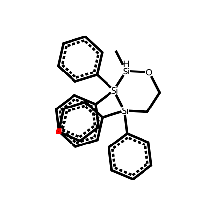 C[SiH]1OCC[Si](c2ccccc2)(c2ccccc2)[Si]1(c1ccccc1)c1ccccc1